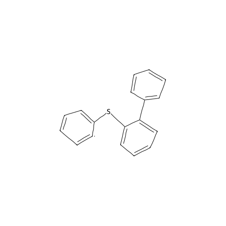 [c]1ccccc1Sc1ccccc1-c1ccccc1